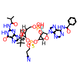 CC(C)C(=O)Nc1nc2c(ncn2[C@@H]2O[C@@H]3COP(=O)(O)O[C@]45C(OP(=S)(OCCC#N)O[C@@H]2[C@@H]3O[Si](C)(C)C(C)(C)C)[C@H]4O[C@@H](n2cnc3c(NC(=O)c4ccccc4)ncnc32)[C@@H]5F)c(=O)[nH]1